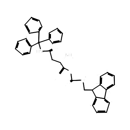 N[C@@H](CC(=O)NC(c1ccccc1)(c1ccccc1)c1ccccc1)C(=O)OC(=O)OCC1c2ccccc2-c2ccccc21